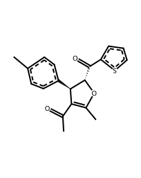 CC(=O)C1=C(C)O[C@@H](C(=O)c2cccs2)[C@@H]1c1ccc(C)cc1